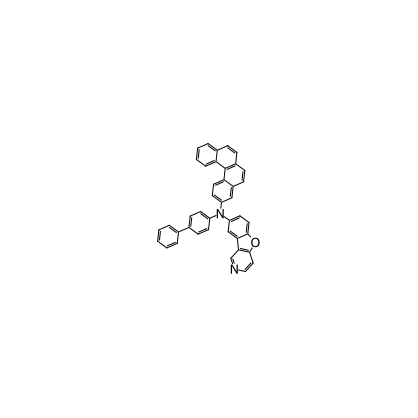 c1ccc(-c2ccc(N(c3ccc4c(ccc5ccc6ccccc6c54)c3)c3ccc4oc5ccncc5c4c3)cc2)cc1